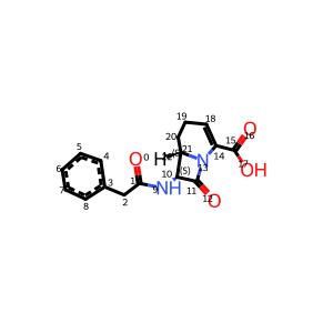 O=C(Cc1ccccc1)N[C@@H]1C(=O)N2C(C(=O)O)=CCC[C@@H]12